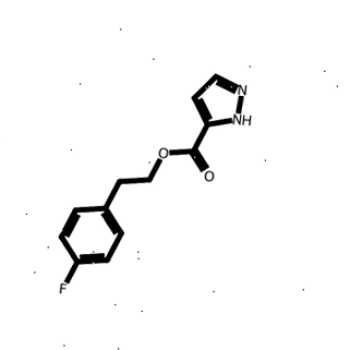 O=C(OCCc1ccc(F)cc1)c1ccn[nH]1